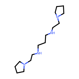 C(CNCCN1CCCC1)CNCCN1CCCC1